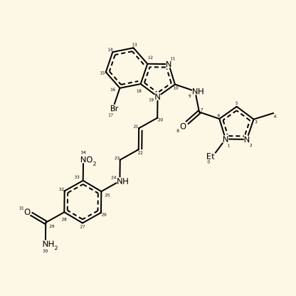 CCn1nc(C)cc1C(=O)Nc1nc2cccc(Br)c2n1CC=CCNc1ccc(C(N)=O)cc1[N+](=O)[O-]